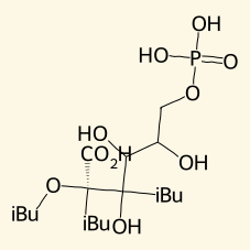 CCC(C)O[C@](C(=O)O)(C(C)CC)C(O)(C(C)CC)C(O)C(O)COP(=O)(O)O